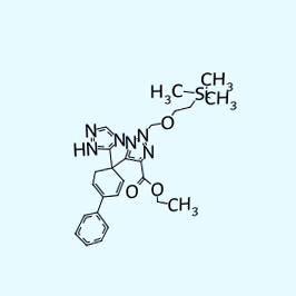 CCOC(=O)c1nn(COCC[Si](C)(C)C)nc1C1(c2ncn[nH]2)C=CC(c2ccccc2)=CC1